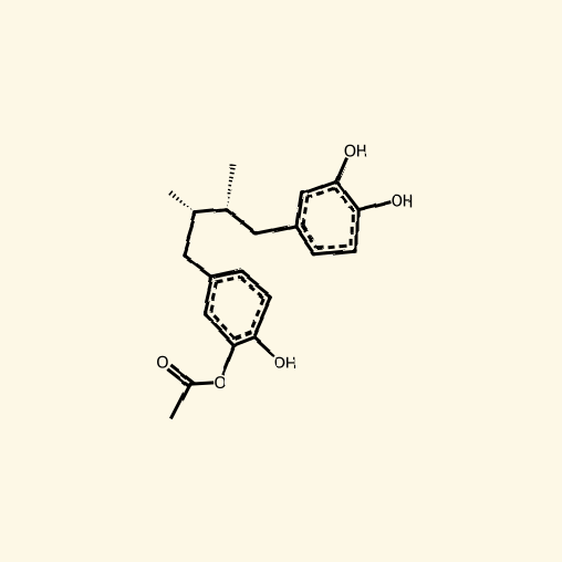 CC(=O)Oc1cc(C[C@H](C)[C@H](C)Cc2ccc(O)c(O)c2)ccc1O